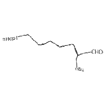 CCCCCCCCCCCCC([C]=O)CCCC